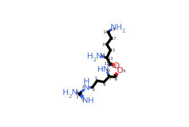 N=C(N)NCCCC([C]=O)NC(=O)C(N)CCCCN